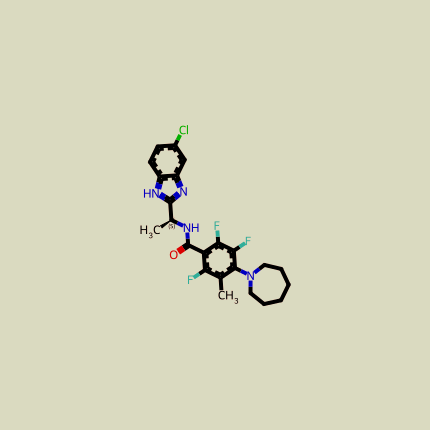 Cc1c(F)c(C(=O)N[C@@H](C)c2nc3cc(Cl)ccc3[nH]2)c(F)c(F)c1N1CCCCCC1